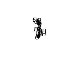 CCS(=O)(=O)N1CCN(Cc2cc(F)cc(NC(=O)Nc3ccon3)c2)CC1